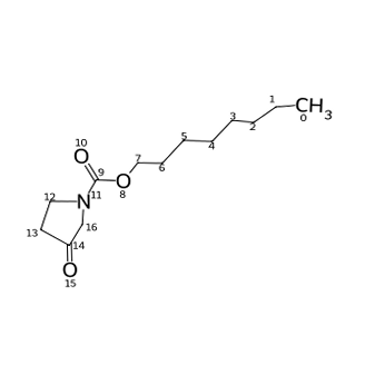 CCCCCCCCOC(=O)N1CCC(=O)C1